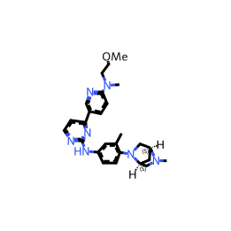 COCCN(C)c1ccc(-c2ccnc(Nc3ccc(N4C[C@@H]5C[C@H]4CN5C)c(C)c3)n2)cn1